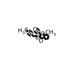 Cc1cccc2c(=O)c(OCCN3CCN(C)CC3)c(N3CCOCC3)oc12